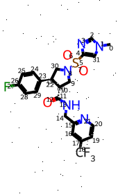 Cn1cnc(S(=O)(=O)N2C[C@H](C(=O)NCc3cc(C(F)(F)F)ccn3)[C@@H](c3ccc(F)cc3)C2)c1